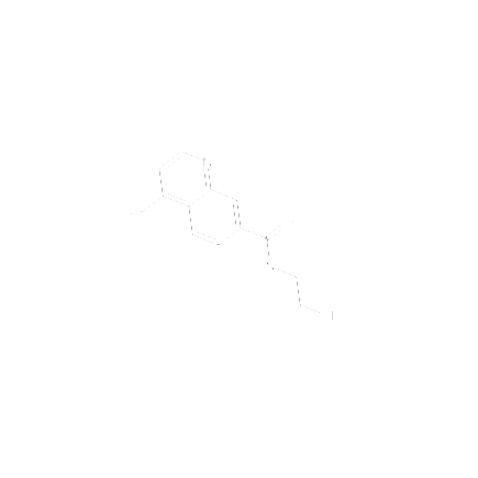 CCCNC(=O)c1ccc2c(Cl)ccnc2c1